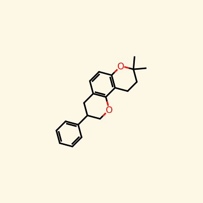 CC1(C)CCc2c(ccc3c2OCC(c2ccccc2)C3)O1